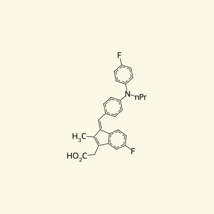 CCCN(c1ccc(F)cc1)c1ccc(/C=C2/C(C)=C(CC(=O)O)c3cc(F)ccc32)cc1